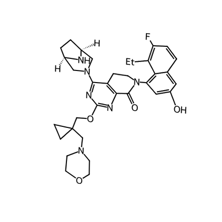 CCc1c(F)ccc2cc(O)cc(N3CCc4c(nc(OCC5(CN6CCOCC6)CC5)nc4N4C[C@H]5CC[C@@H](C4)N5)C3=O)c12